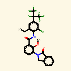 CCc1cc(C(F)(C(F)(F)F)C(F)(F)F)cc(Br)c1NC(=O)c1cccc(N2Cc3ccccc3C2=O)c1OC